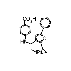 CC(C)CC(Nc1ccc(C(=O)O)cc1)c1cc(-c2ccccc2)oc1C1CC1